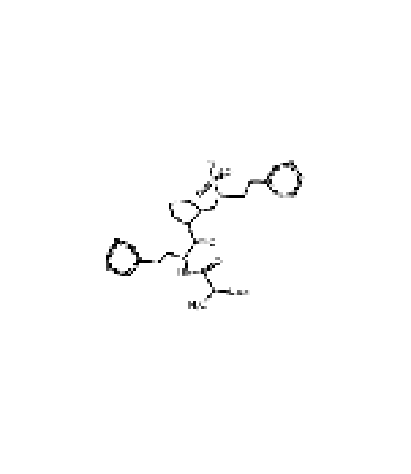 CN[C@@H](C)C(=O)N[C@@H](CCc1ccccc1)C(=O)N1CCC[C@H]1CN(CCc1ccccc1)S(C)(=O)=O